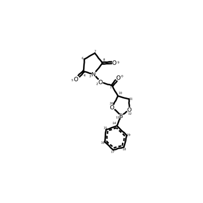 O=C(ON1C(=O)CCC1=O)C1COB(c2ccccc2)O1